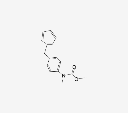 [CH2]OC(=O)N(C)c1ccc(Cc2ccccc2)cc1